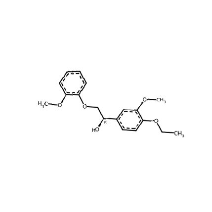 CCOc1ccc([C@@H](O)COc2ccccc2OC)cc1OC